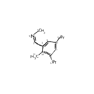 C/N=C\c1cc(C(C)C)cc(C(C)C)c1C